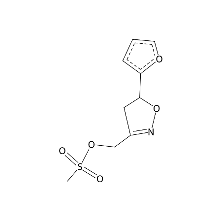 CS(=O)(=O)OCC1=NOC(c2ccco2)C1